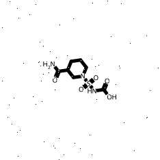 NC(=O)C1CCCN(S(=O)(=O)NC(=O)O)C1